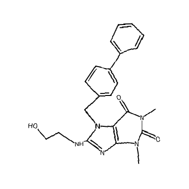 Cn1c(=O)c2c(nc(NCCO)n2Cc2ccc(-c3ccccc3)cc2)n(C)c1=O